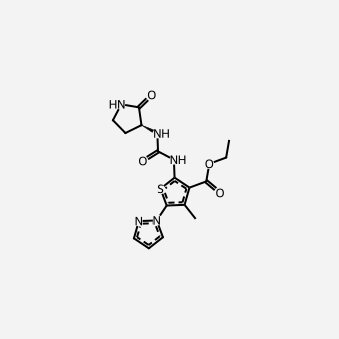 CCOC(=O)c1c(NC(=O)N[C@H]2CCNC2=O)sc(-n2cccn2)c1C